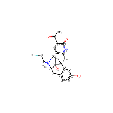 CC(=O)c1cc2c([nH]c1=O)C[C@]13CCN(CCF)[C@H](Cc4ccc(O)cc41)[C@]3(O)C2